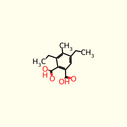 CCc1cc(C(=O)O)c(C(=O)O)c(CC)c1C